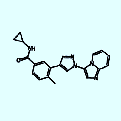 Cc1ccc(C(=O)NC2CC2)cc1-c1cnn(-c2cnc3ccccn23)c1